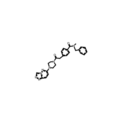 CN(Cc1ccccc1)C(=O)c1ccc(CC(=O)N2CCN(c3ccc4nncn4n3)CC2)cc1